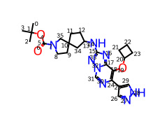 CC(C)(C)OC(=O)N1CCC2(CCC(Nc3nc4c(OC5CCC5)c(-c5cn[nH]c5)ncn4n3)C2)C1